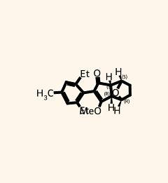 CCc1cc(C)cc(CC)c1C1=C(OC)[C@@H]2[C@H](C1=O)[C@@H]1CC[C@H]2O1